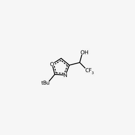 CC(C)(C)c1nc(C(O)C(F)(F)F)co1